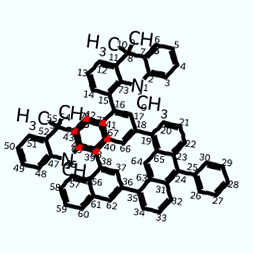 CN1c2ccccc2C(C)(C)c2cccc(-c3cc(-c4cccc5c(-c6ccccc6)c6cccc(-c7cc(-c8cccc9c8N(C)c8ccccc8C9(C)C)c8ccccc8c7)c6cc45)cc4ccccc34)c21